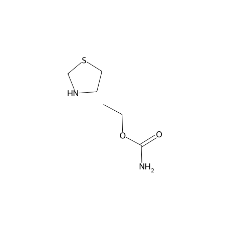 C1CSCN1.CCOC(N)=O